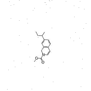 CCC(C)c1ccc2c(c1)CN(C(=O)OC)C=C2